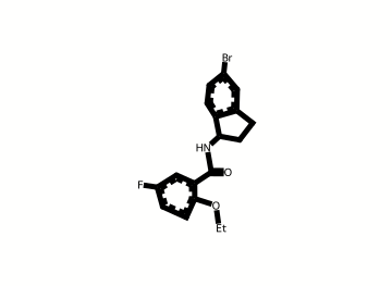 CCOc1ccc(F)cc1C(=O)NC1CCc2cc(Br)ccc21